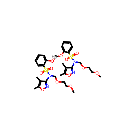 COCCOCN(c1noc(C)c1C)S(=O)(=O)c1ccccc1OBOc1ccccc1S(=O)(=O)N(COCCOC)c1noc(C)c1C